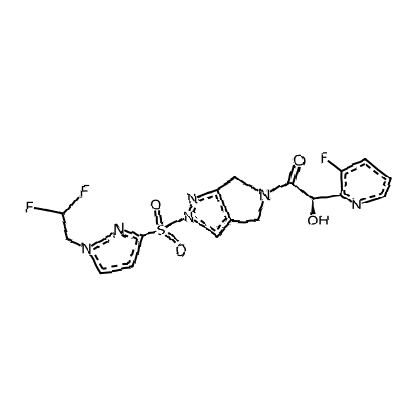 O=C([C@H](O)c1ncccc1F)N1Cc2cn(S(=O)(=O)c3ccn(CC(F)F)n3)nc2C1